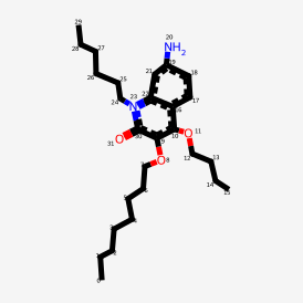 CCCCCCCCOc1c(OCCCC)c2ccc(N)cc2n(CCCCCC)c1=O